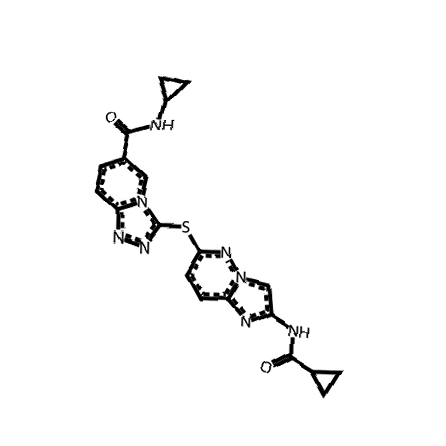 O=C(NC1CC1)c1ccc2nnc(Sc3ccc4nc(NC(=O)C5CC5)cn4n3)n2c1